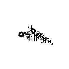 CC(=O)Nc1ncc(S(=O)(=O)Nc2ccc(Cl)cc2NS(=O)(=O)c2cc3ccccc3o2)s1